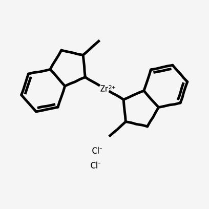 CC1CC2C=CC=CC2[CH]1[Zr+2][CH]1C(C)CC2C=CC=CC21.[Cl-].[Cl-]